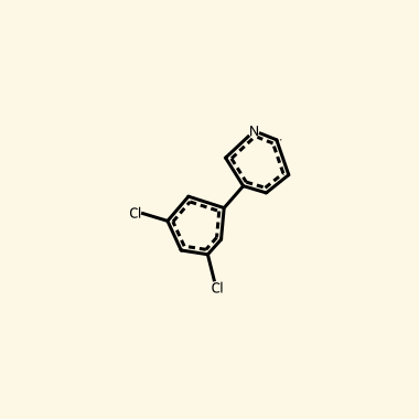 Clc1cc(Cl)cc(-c2cc[c]nc2)c1